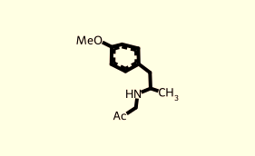 [CH2]C(=O)CNC(C)Cc1ccc(OC)cc1